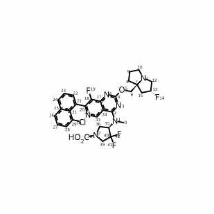 CN(c1nc(OC[C@@]23CCCN2C[C@H](F)C3)nc2c(F)c(-c3cccc4cccc(Cl)c34)ncc12)[C@@H]1CN(C(=O)O)CC1(F)F